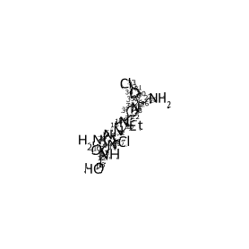 CC[C@H]1CN(c2nc(N)c(C(=O)NCCO)nc2Cl)CCN1C1CCN(C(CCN)c2ccc(Cl)cc2)CC1